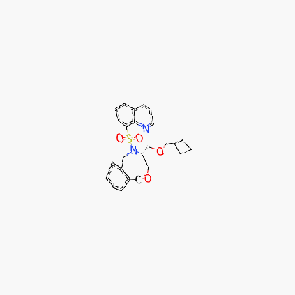 O=S(=O)(c1cccc2cccnc12)N1Cc2ccccc2COC[C@H]1COCC1CCC1